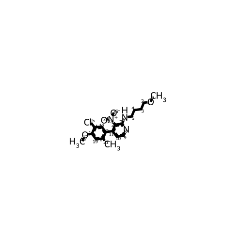 COCCCCNc1nccc(-c2cc(Cl)c(OC)cc2C)c1[N+](=O)[O-]